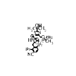 CC(C)c1ccc(C#N)c(C(C)C)c1CC(=O)NS(=O)(=O)c1sc(C(C)(C)O)nc1CO[Si](C)(C)C(C)(C)C